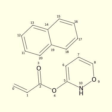 C=CC(=O)OC1=CC=CON1.c1ccc2ccccc2c1